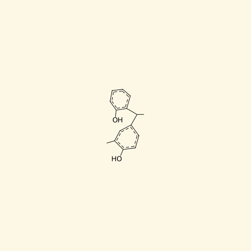 Cc1cc(C(C)c2ccccc2O)ccc1O